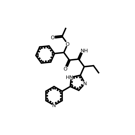 CCC(C(=N)C(=O)C(OC(C)=O)c1ccccc1)c1ncc(-c2cccnc2)[nH]1